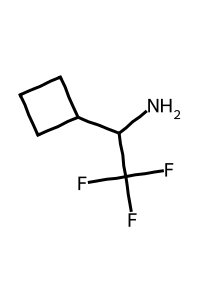 NC(C1CCC1)C(F)(F)F